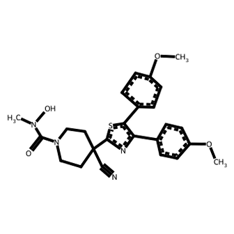 COc1ccc(-c2nc(C3(C#N)CCN(C(=O)N(C)O)CC3)sc2-c2ccc(OC)cc2)cc1